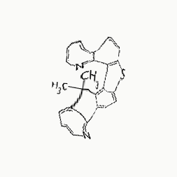 CC1(C)c2cccnc2-c2ccc3sc4ccc5cccnc5c4c3c21